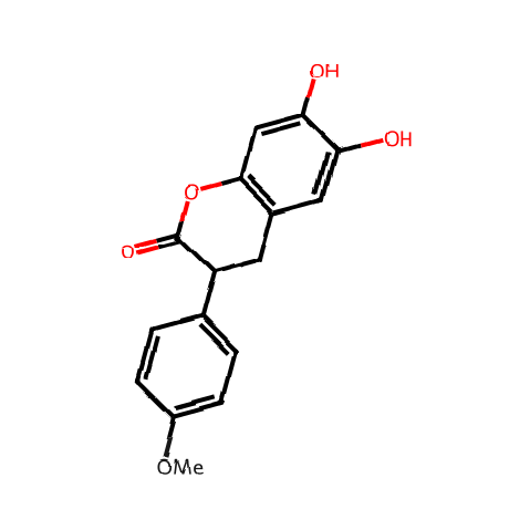 COc1ccc(C2Cc3cc(O)c(O)cc3OC2=O)cc1